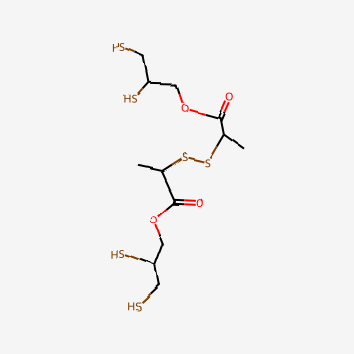 CC(SSC(C)C(=O)OCC(S)CS)C(=O)OCC(S)CS